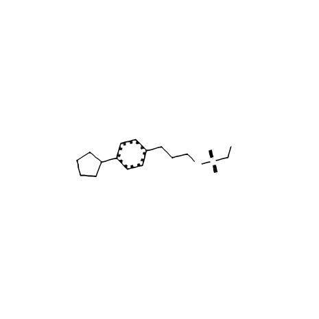 CCS(=O)(=O)OCCCc1ccc(C2CCCC2)cc1